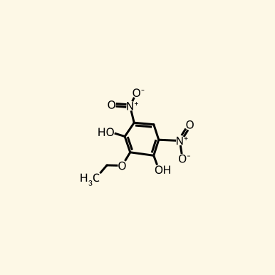 CCOc1c(O)c([N+](=O)[O-])cc([N+](=O)[O-])c1O